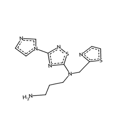 NCCCN(Cc1nccs1)c1nc(-n2ccnc2)ns1